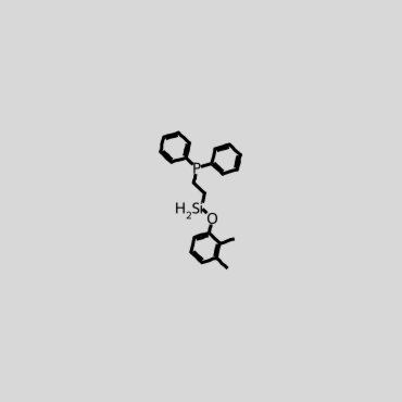 Cc1cccc(O[SiH2]CCP(c2ccccc2)c2ccccc2)c1C